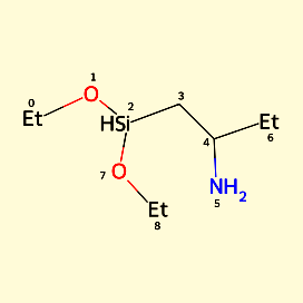 CCO[SiH](CC(N)CC)OCC